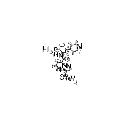 Cc1ccc(-c2ccncc2)cc1NC(=O)c1ccnc2c(C(N)=O)cnn12